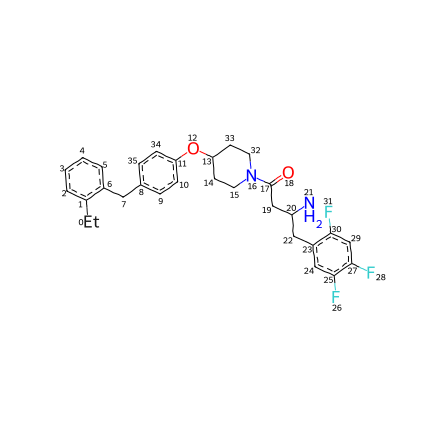 CCc1ccccc1Cc1ccc(OC2CCN(C(=O)CC(N)Cc3cc(F)c(F)cc3F)CC2)cc1